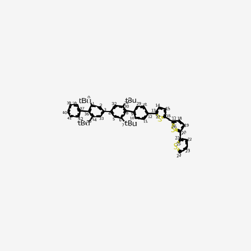 CC(C)(C)c1cc(-c2cc(C(C)(C)C)c(-c3ccc(-c4ccc(-c5ccc(-c6cccs6)s5)s4)cc3)c(C(C)(C)C)c2)cc(C(C)(C)C)c1-c1ccccc1